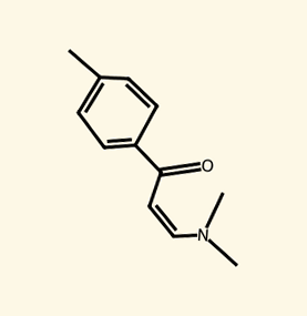 Cc1ccc(C(=O)/C=C\N(C)C)cc1